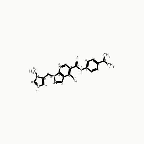 CC(C)c1ccc(NC(=O)c2cnc3c(cnn3Cc3cncn3C)c2Cl)cc1